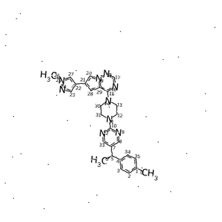 Cc1ccc([C@@H](C)c2cnc(N3CCN(c4ncnn5cc(-c6cnn(C)c6)cc45)CC3)nc2)cc1